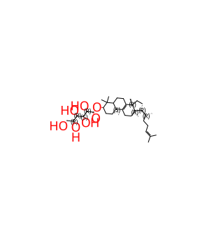 CC(C)=CCC[C@@H](C)[C@H]1CC[C@@]2(C)C3=C(CC[C@]12C)[C@@]1(C)CCC(OC(=O)[C@H](O)[C@@H](O)[C@H](O)[C@H](O)CO)C(C)(C)C1CC3